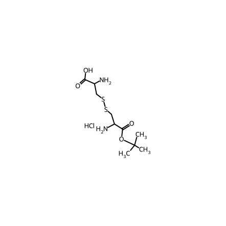 CC(C)(C)OC(=O)C(N)CSSCC(N)C(=O)O.Cl